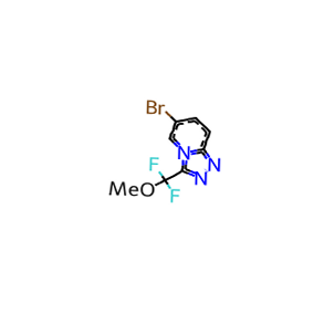 COC(F)(F)c1nnc2ccc(Br)cn12